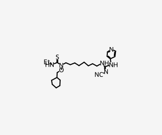 CCNC(=S)N(CCCCCCCCN/C(=N\C#N)Nc1ccncc1)OCC1CCCCC1